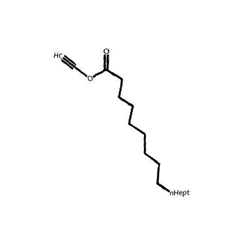 C#COC(=O)CCCCCCCCCCCCCCC